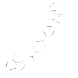 C[C@H](C(=O)N1CCN(c2ccc(S(=O)(=O)Nc3nncs3)cc2)CC1)n1ccc2cccc(F)c21